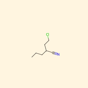 CCC[C](C#N)CCCl